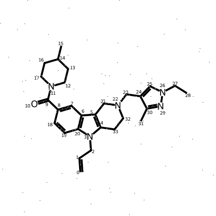 C=CCn1c2c(c3cc(C(=O)N4CCC(C)CC4)ccc31)CN(Cc1cn(CC)nc1C)CC2